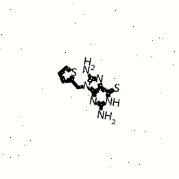 Nc1nc2c(nc(N)n2Cc2cccs2)c(=S)[nH]1